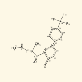 CN/C=C(\C)C(=O)c1nn(-c2ccc(C(F)(F)F)cc2)ccc1=O